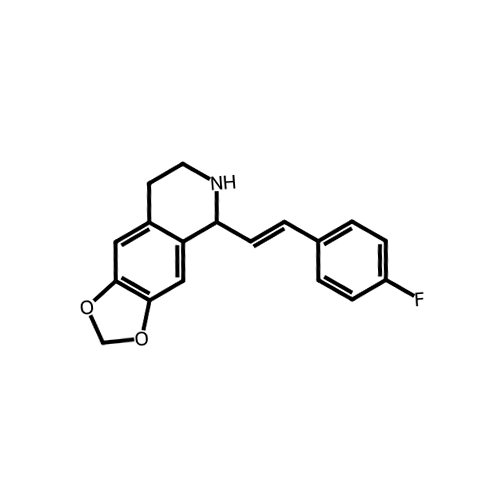 Fc1ccc(/C=C/C2NCCc3cc4c(cc32)OCO4)cc1